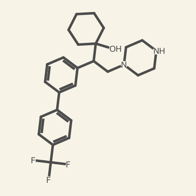 OC1(C(CN2CCNCC2)c2cccc(-c3ccc(C(F)(F)F)cc3)c2)CCCCC1